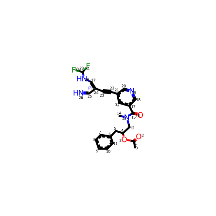 CC(=O)OC(Cc1ccccc1)CN(C)C(=O)c1cncc(C#C/C(C=N)=C/NC(F)F)c1